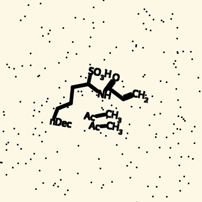 C=CC(=O)NC(CCCCCCCCCCCCC)S(=O)(=O)O.CC(C)=O.CC(C)=O